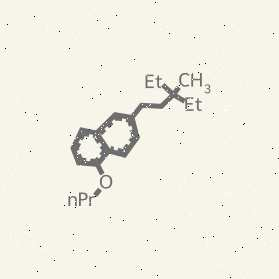 CCCOc1cccc2cc(CCC(C)(CC)CC)ccc12